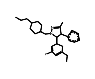 CCCC1CCC(CN2N=C(C)C(c3ccccc3)C2C2C=C(F)C=C(CC)C2)CC1